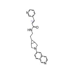 O=C(/C=C/c1cccnc1)NCCC1C2CN(c3ccc4cnccc4c3)CC12